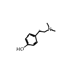 CN(C)C[CH]c1ccc(O)cc1